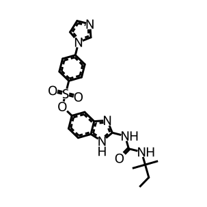 CCC(C)(C)NC(=O)Nc1nc2cc(OS(=O)(=O)c3ccc(-n4ccnc4)cc3)ccc2[nH]1